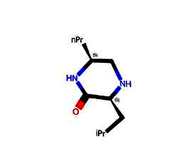 CCC[C@H]1CN[C@@H](CC(C)C)C(=O)N1